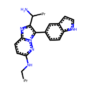 CC(C)CNc1ccc2nc(C(N)C(C)C)c(-c3ccc4[nH]ccc4c3)n2n1